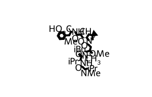 CC[C@H](C)C(C(CC(=O)N1CC2(CC2)C[C@H]1C(OC)[C@@H](C)C(=O)N[C@@H](Cc1ccccc1)C(=O)O)OC)N(C)C(=O)[C@@H](NC(=O)[C@@H](NC)C(C)C)C(C)C